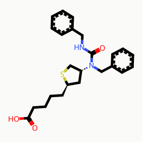 O=C(O)CCCC[C@@H]1C[C@@H](N(Cc2ccccc2)C(=O)NCc2ccccc2)CS1